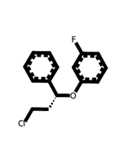 Fc1cccc(O[C@H](CCCl)c2ccccc2)c1